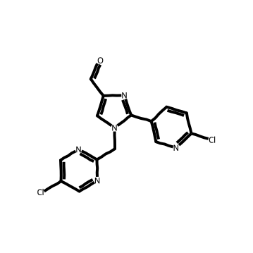 O=Cc1cn(Cc2ncc(Cl)cn2)c(-c2ccc(Cl)nc2)n1